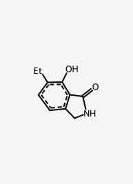 CCc1ccc2c(c1O)C(=O)NC2